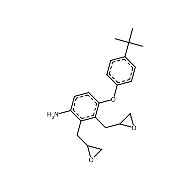 CC(C)(C)c1ccc(Oc2ccc(N)c(CC3CO3)c2CC2CO2)cc1